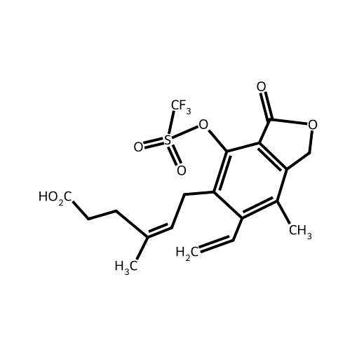 C=Cc1c(C)c2c(c(OS(=O)(=O)C(F)(F)F)c1CC=C(C)CCC(=O)O)C(=O)OC2